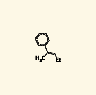 [CH2]C(=CCC)c1ccccc1